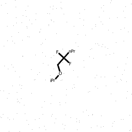 CCCC(F)(F)COC(C)C